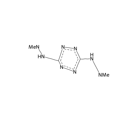 CNNc1nnc(NNC)nn1